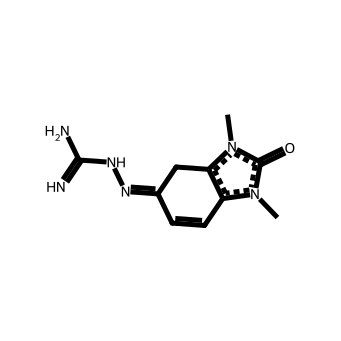 Cn1c2c(n(C)c1=O)CC(=NNC(=N)N)C=C2